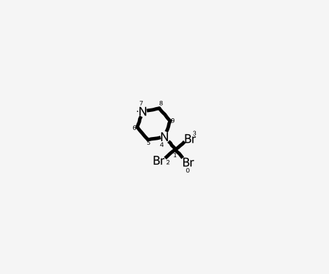 BrC(Br)(Br)N1CC[N]CC1